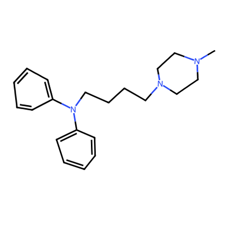 CN1CCN(CCCCN(c2ccccc2)c2ccccc2)CC1